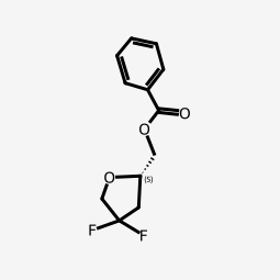 O=C(OC[C@@H]1CC(F)(F)CO1)c1ccccc1